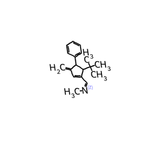 C=C1C=C(/C=N\C)C(C(C)(C)C)C1c1ccccc1